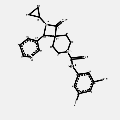 O=C(Nc1cc(F)cc(F)c1)N1CCC2(CC1)C(=O)N(C1CC1)C2c1cccnc1